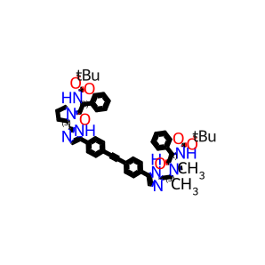 C[C@@H](c1ncc(-c2ccc(C#Cc3ccc(-c4cnc([C@@H]5CCCN5C(=O)[C@H](NC(=O)OC(C)(C)C)c5ccccc5)[nH]4)cc3)cc2)[nH]1)N(C)C(=O)[C@H](NC(=O)OC(C)(C)C)c1ccccc1